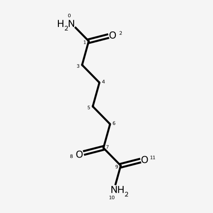 NC(=O)CCCCC(=O)C(N)=O